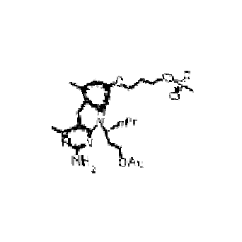 CCC[C@@H](CCOC(C)=O)Nc1nc(N)nc(C)c1Cc1ccc(OCCCOS(C)(=O)=O)cc1C